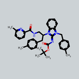 Cc1ccc(CC(CNC(=O)c2cccc(C)n2)n2c(=NC(=O)OC(C)(C)C)n(Cc3ccc(C)cc3)c3ccccc32)cc1